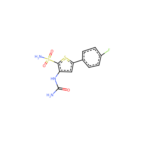 NC(=O)Nc1cc(-c2ccc(F)cc2)sc1S(N)(=O)=O